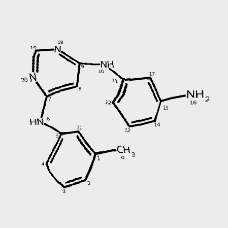 Cc1cccc(Nc2cc(Nc3cccc(N)c3)ncn2)c1